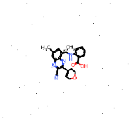 Cc1cc([C@@H](C)Nc2ccccc2C(=O)O)c2nc(C3=CCOCC3)c(C#N)nc2c1